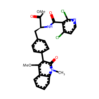 COC(=O)[C@H](Cc1ccc(-c2c(OC)c3ccccc3n(C)c2=O)cc1)NC(=O)c1c(Cl)ccnc1Cl